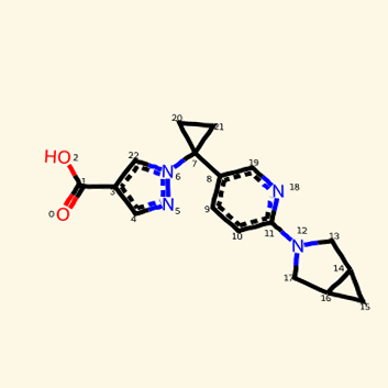 O=C(O)c1cnn(C2(c3ccc(N4CC5CC5C4)nc3)CC2)c1